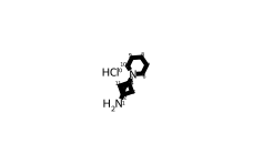 Cl.NC12CC(N3CCCCC3)(C1)C2